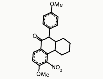 COc1ccc(C2C(=O)c3ccc(OC)c([N+](=O)[O-])c3C3CCCCC32)cc1